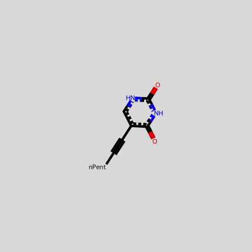 CCCCCC#Cc1c[nH]c(=O)[nH]c1=O